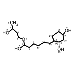 CC(O)CCOC(O)CCCCCC1CCC(O)C[C@H]1O